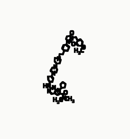 COc1ccc(CN2C(=O)CCN(c3ccc(CCN4CCC(N5CCN(c6ccc(Nc7ncc8cc(C(=O)N(C)C)n(C9CCCC9)c8n7)cc6)CC5)CC4)cc3)C2=O)cc1